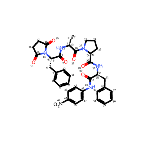 CC(C)[C@H](NC(=O)[C@H](Cc1ccccc1)N1C(=O)CCC1=O)C(=O)N1CCC[C@H]1C(=O)N[C@@H](Cc1ccccc1)C(=O)Nc1ccc([N+](=O)[O-])cc1